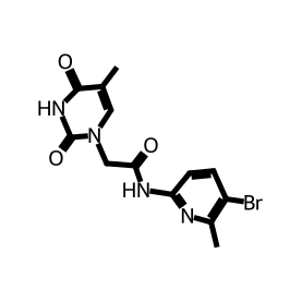 Cc1nc(NC(=O)Cn2cc(C)c(=O)[nH]c2=O)ccc1Br